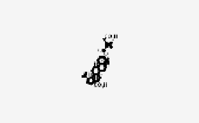 C=C(C)[C@@H]1CC[C@]2(C(=O)O)CC[C@]3(C)[C@H](CC[C@@H]4[C@@]5(C)CC[C@H](OC(=O)[C@H]6[C@@H](CC(=O)O)C6(C)C)C(C)(C)[C@@H]5CC[C@]43C)[C@@H]12